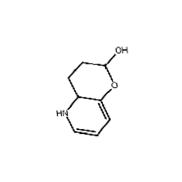 OC1CCC2NC=CC=C2O1